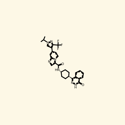 CC(C)n1cc(-c2ccn3c(C(=O)N[C@H]4CC[C@H](c5n[nH]c(=O)c6ccccc65)CC4)cnc3c2)c(C(F)(F)F)n1